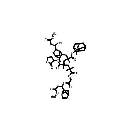 CC1C2CC(C(O)CC(=O)OC(C)(C)C)C(C2)C1CC(C)(CC(C)(CC(C)(C)C(=O)OCC(=O)OC(CC(=O)OC(C)(C)C)C1CC2C=CC1C2)C(=O)OC1CCOC1=O)C(=O)OC1(C)C2CC3CC(C2)CC1C3